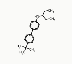 CCC(CC)Nc1ccc(-c2ccc(C(C)(C)C)cc2)cc1